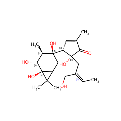 C/C=C(/CO)C[C@]1(O)C(=O)C(C)=C[C@H]1[C@]1(O)CC2C(C)(C)[C@]2(O)[C@H](O)[C@H]1C